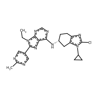 CCn1c(-c2cnc(C)nc2)nc2c(N[C@@H]3CCc4nc(Cl)n(C5CC5)c4C3)ncnc21